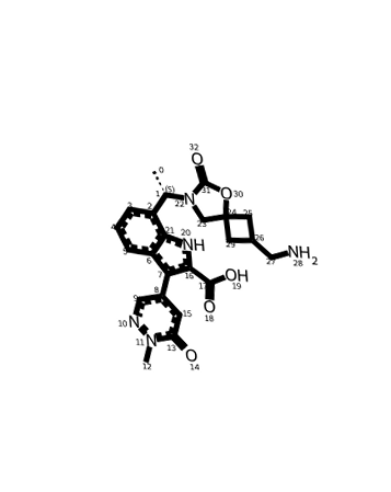 C[C@@H](c1cccc2c(-c3cnn(C)c(=O)c3)c(C(=O)O)[nH]c12)N1CC2(CC(CN)C2)OC1=O